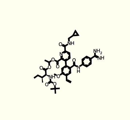 C=Cc1cc(C(=O)Nc2ccc(C(=N)N)cc2)c(-c2ccc(C(=O)NCC3CC3)nc2C(=O)OC(C)OC(=O)[C@@H](NC(=O)OC(C)(C)C)[C@@H](C)CC)cc1OC